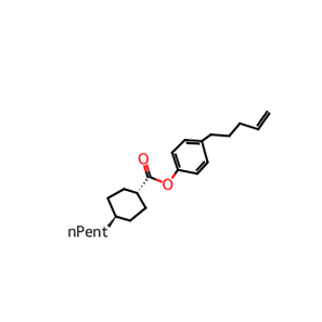 C=CCCCc1ccc(OC(=O)[C@H]2CC[C@H](CCCCC)CC2)cc1